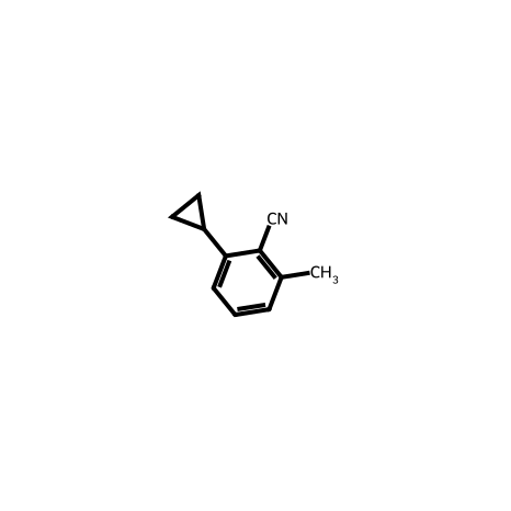 Cc1cccc(C2CC2)c1C#N